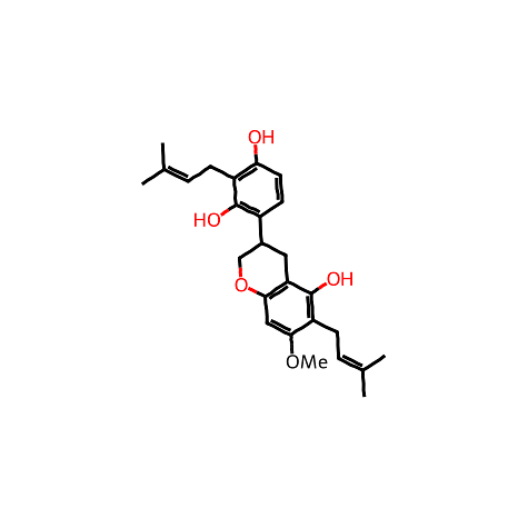 COc1cc2c(c(O)c1CC=C(C)C)CC(c1ccc(O)c(CC=C(C)C)c1O)CO2